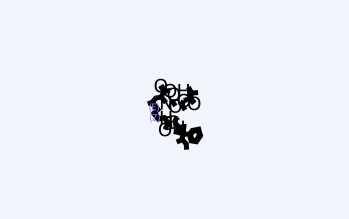 CCC(C)C1(c2ccccc2)CN(B(C)[S+]([O-])C/C=C\C=C(/C)CC(NC(=O)OC(C)OC(=O)C(C)C)C(=O)O)C1